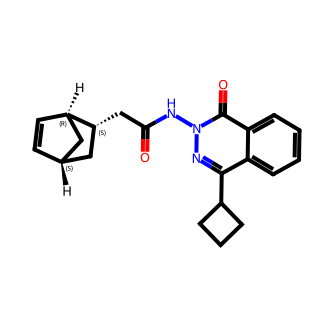 O=C(C[C@@H]1C[C@@H]2C=C[C@@H]1C2)Nn1nc(C2CCC2)c2ccccc2c1=O